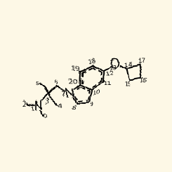 CN(C)C(C)(C)Cn1ccc2cc(OC3CCC3)ccc21